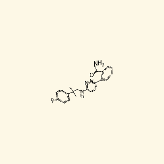 CC(C)(CNc1ccc(-c2ccccc2C(N)=O)nn1)c1ccc(F)cc1